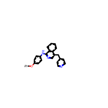 CC(C)Oc1ccc(Nc2ncc(Cc3ccncc3)c3ccccc23)cc1